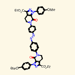 CCOC(=O)c1nn(-c2ccc(OC)cc2)c2c1CCN(c1ccc(/N=N/c3ccc(N4CCc5c(C(=O)OCC)nn(-c6ccc(OC)cc6)c5C4=O)cc3)cc1)C2=O